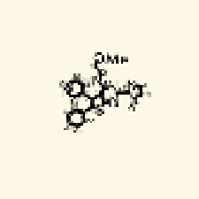 COCCNc1nc(-c2nccn2C)nc2sc(-c3ccccc3)c(-c3cccnc3)c12